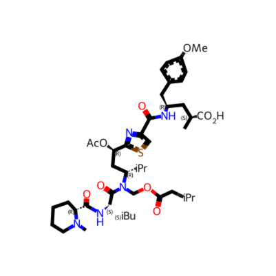 CC[C@H](C)[C@H](NC(=O)[C@H]1CCCCN1C)C(=O)N(COC(=O)CC(C)C)[C@H](C[C@@H](OC(C)=O)c1nc(C(=O)N[C@@H](Cc2ccc(OC)cc2)C[C@H](C)C(=O)O)cs1)C(C)C